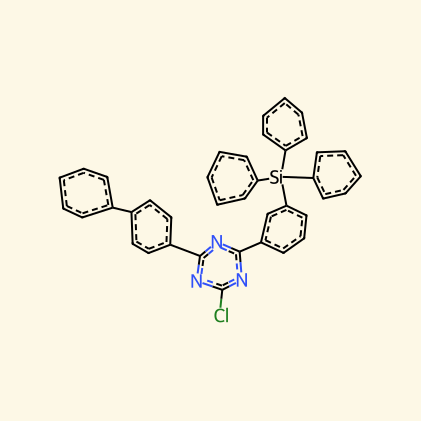 Clc1nc(-c2ccc(-c3ccccc3)cc2)nc(-c2cccc([Si](c3ccccc3)(c3ccccc3)c3ccccc3)c2)n1